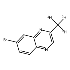 [2H]C([2H])([2H])c1cnc2ccc(Br)cc2n1